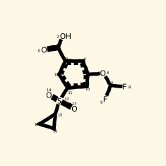 O=C(O)c1cc(OC(F)F)cc(S(=O)(=O)C2CC2)c1